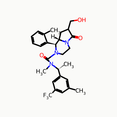 Cc1cc([C@@H](C)N(C)C(=O)N2CCN3C(=O)C(CO)C[C@H]3[C@@H]2c2ccccc2C)cc(C(F)(F)F)c1